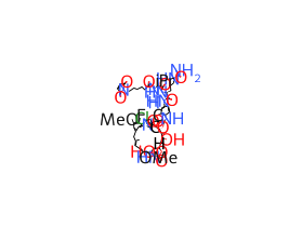 COc1cc2cc(c1Cl)N(C)C(=O)C[C@H](OC(=O)Nc1ccc(NC(=O)[C@H](CCCNC(N)=O)NC(=O)[C@@H](NC(=O)CCCCCN3C(=O)C=CC3=O)C(C)C)cc1C(F)(F)F)[C@@H](C)[C@@H](O)[C@H](C)[C@@H]1C[C@@](O)(NC(=O)O1)[C@H](OC)/C=C/C=C(\C)C2